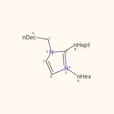 CCCCCCCCCCCn1cc[n+](CCCCCC)c1CCCCCCC